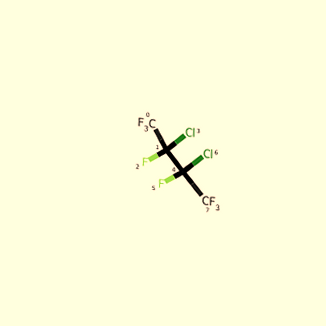 FC(F)(F)C(F)(Cl)C(F)(Cl)C(F)(F)F